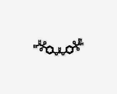 CCNS(=O)(=O)c1ccc(OBOc2ccc(S(=O)(=O)NCC)cc2)cc1